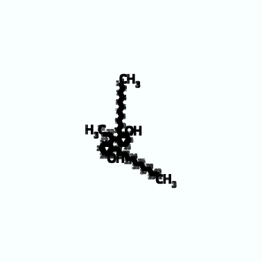 CCCCCCCCCCCCc1c(O)cccc1C(CCC)c1cccc(O)c1CCCCCCCCCCCC